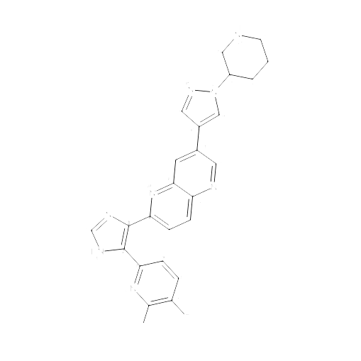 Cc1nc(-c2[nH]cnc2-c2ccc3ncc(-c4cnn(C5CCCNC5)c4)cc3n2)ccc1F